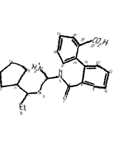 CCC(SC(N)NC(=O)c1ccccc1-c1ccccc1C(=O)O)C1CCCC1